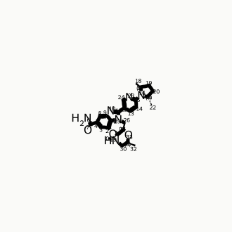 COc1cc(C(N)=O)cc2nc(-c3ccc(N4[C@@H](C)CC[C@@H]4C)nc3)n(C[C@@H]3CNC[C@H](C)O3)c12